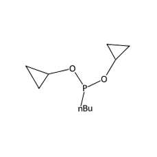 CCCCP(OC1CC1)OC1CC1